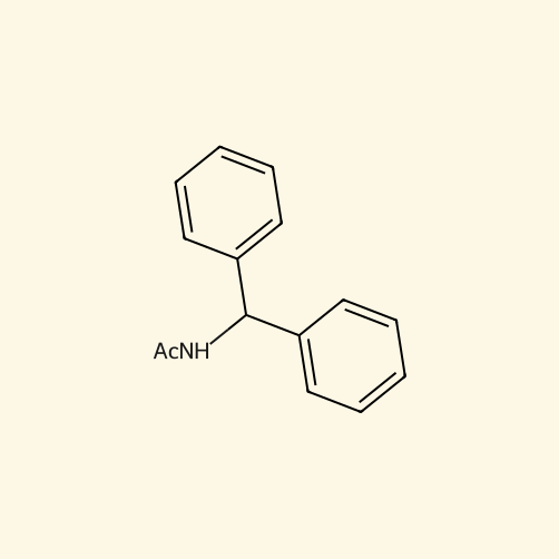 CC(=O)NC(c1ccccc1)c1ccccc1